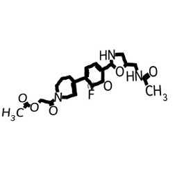 CC(=O)NCC1CNC(C2=CC=C(C3=CCN(C(=O)COC(C)=O)CCC3)[C@H](F)C2=O)O1